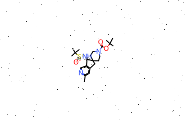 Cc1cc2c(cn1)[C@@H](N[S@+]([O-])C(C)(C)C)C1(CCN(C(=O)OC(C)(C)C)CC1)C2